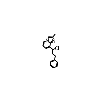 Cc1cn2cccc(C(Cl)CCc3ccccc3)c2n1